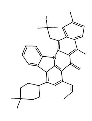 C=c1c2c(C)c3ccc(C)cc3c(CC(C)(C)I)c2n2c3ccccc3c3c(C4CCC(C)(C)CC4)cc(/C=C\C)c1c32